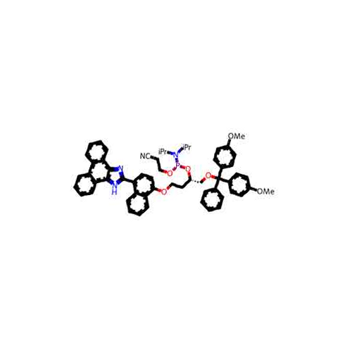 COc1ccc(C(OC[C@H](CCOc2ccc(-c3nc4c5ccccc5c5ccccc5c4[nH]3)c3ccccc23)OP(OCCC#N)N(C(C)C)C(C)C)(c2ccccc2)c2ccc(OC)cc2)cc1